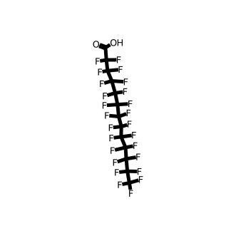 O=C(O)C(F)(F)C(F)(F)C(F)(F)C(F)(F)C(F)(F)C(F)(F)C(F)(F)C(F)(F)C(F)(F)C(F)(F)C(F)(F)C(F)(F)F